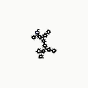 C=C(C)/C=C\c1c(C)c2cc(N(c3ccc(C4=CCCC=C4)cc3)c3ccc(-c4ccc(N(c5ccc(-c6ccccc6)cc5)c5ccc6c(c5)C5C=CC=CC5N6c5ccccc5)cc4)cc3)ccc2n1-c1ccccc1